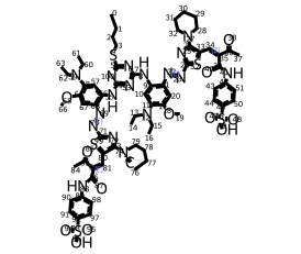 CCCCSc1nc(Nc2cc(N(CC)CC)c(OC)cc2/N=N/c2nc(N3CCCCC3)c(/C=C(/C(C)=O)C(=O)Nc3ccc(S(=O)(=O)O)cc3)s2)nc(Nc2cc(N(CC)CC)c(OC)cc2/N=N/c2nc(N3CCCCC3)c(/C=C(\C(C)=O)C(=O)Nc3ccc(S(=O)(=O)O)cc3)s2)n1